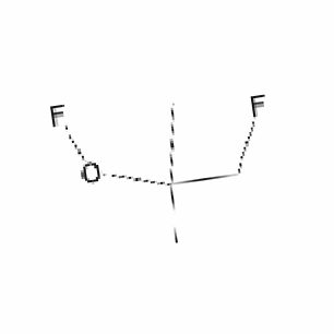 CC(C)(CF)OF